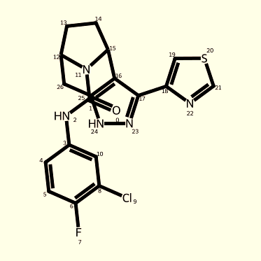 O=C(Nc1ccc(F)c(Cl)c1)N1C2CCC1c1c(-c3cscn3)n[nH]c1C2